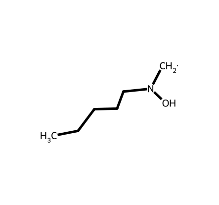 [CH2]N(O)CCCCC